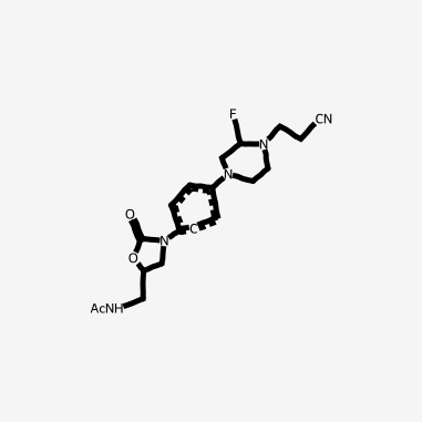 CC(=O)NCC1CN(c2ccc(N3CCN(CCC#N)C(F)C3)cc2)C(=O)O1